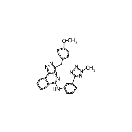 COc1ccc(Cc2nnc3c4ccccc4c(Nc4cccc(-c5nnn(C)n5)c4)nn23)cc1